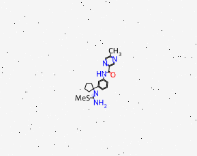 CS/C(N)=N\C1(c2cccc(NC(=O)c3cnc(C)cn3)c2)CCCC1